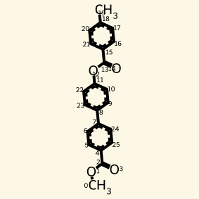 COC(=O)c1ccc(-c2ccc(OC(=O)c3ccc(C)cc3)cc2)cc1